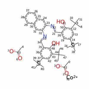 CC(=O)[O-].CC(=O)[O-].CC(C)(C)c1cc([Si](C)(C)C)cc(C=Nc2cc3ccccc3cc2N=Cc2cc([Si](C)(C)C)cc(C(C)(C)C)c2O)c1O.[Co+2]